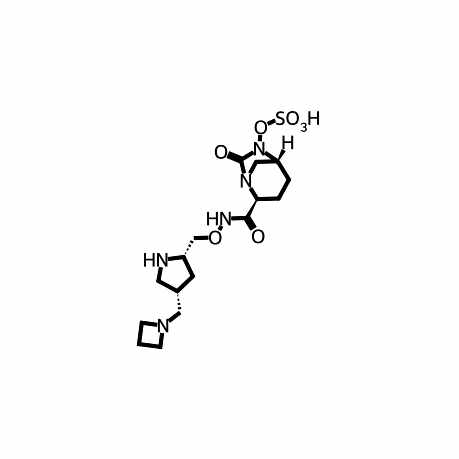 O=C(NOC[C@@H]1C[C@H](CN2CCC2)CN1)[C@@H]1CC[C@@H]2CN1C(=O)N2OS(=O)(=O)O